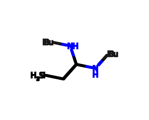 CCC(C)NC(C[SiH3])NC(C)CC